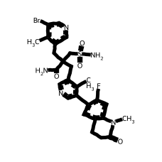 Cc1c(Br)cncc1CC(Cc1cncc(-c2cc3c(cc2F)N(C)C(=O)CC3)c1C)(CS(N)(=O)=O)C(N)=O